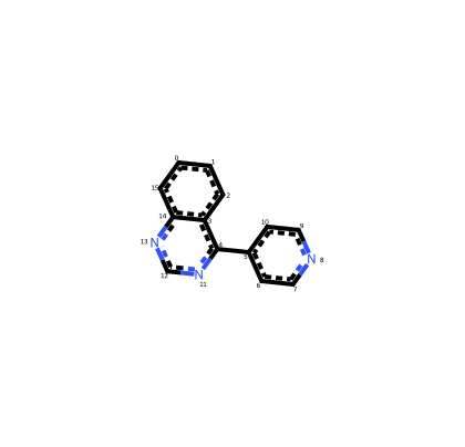 c1ccc2c(-c3ccncc3)ncnc2c1